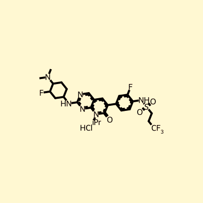 CC(C)n1c(=O)c(-c2ccc(NS(=O)(=O)CCC(F)(F)F)c(F)c2)cc2cnc(NC3CCC(N(C)C)C(F)C3)nc21.Cl